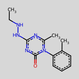 CCNNc1nc(C)n(-c2ccccc2C)c(=O)n1